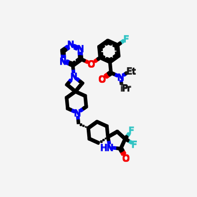 CCN(C(=O)c1cc(F)ccc1Oc1nncnc1N1CC2(CCN(C[C@H]3CC[C@]4(CC3)CC(F)(F)C(=O)N4)CC2)C1)C(C)C